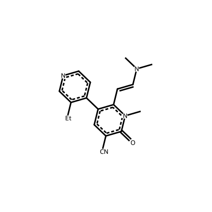 CCc1cnccc1-c1cc(C#N)c(=O)n(C)c1C=CN(C)C